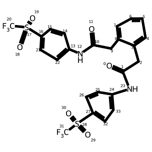 O=C(Cc1ccccc1CC(=O)Nc1ccc(S(=O)(=O)C(F)(F)F)cc1)Nc1ccc(S(=O)(=O)C(F)(F)F)cc1